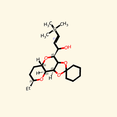 CC[C@H]1CC[C@@H]2O[C@@H](C(O)/C=C/[Si](C)(C)C)C3OC4(CCCCC4)O[C@H]3[C@H]2O1